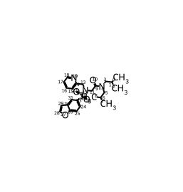 CC(C)CN(CC(C)C)C(=O)CN(Cc1ccccn1)S(=O)(=O)c1ccc2occc2c1